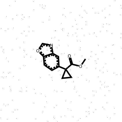 COC(=O)C1(c2ccc3ocnc3c2)CC1